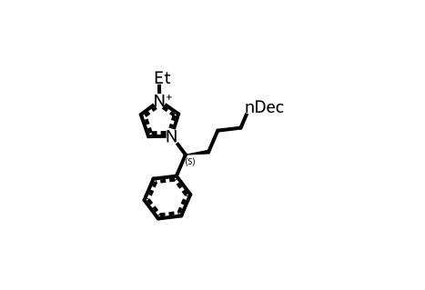 CCCCCCCCCCCCC[C@@H](c1ccccc1)n1cc[n+](CC)c1